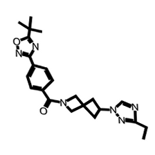 CCc1ncn(C2CC3(C2)CN(C(=O)c2ccc(-c4noc(C(C)(C)C)n4)cc2)C3)n1